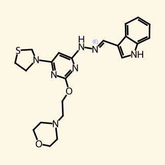 C(=N\Nc1cc(N2CCSC2)nc(OCCN2CCOCC2)n1)/c1c[nH]c2ccccc12